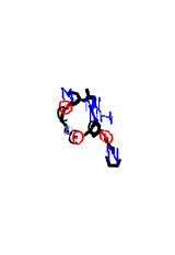 Cc1cnc2nc1-c1ccnc(c1)OCC/C=C/COCc1cc(cc(OCCN3CCCC3)c1)N2